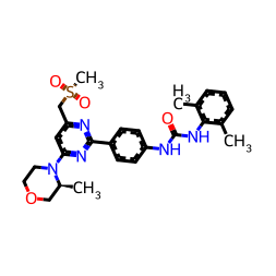 Cc1cccc(C)c1NC(=O)Nc1ccc(-c2nc(CS(C)(=O)=O)cc(N3CCOC[C@@H]3C)n2)cc1